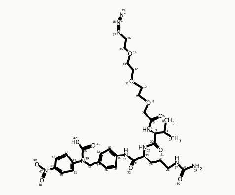 CC(C)[C@H](NC(=O)COCCOCCOCCN=[N+]=[N-])C(=O)N[C@@H](CCCNC(N)=O)C(=O)Nc1ccc(CN(C(=O)O)c2ccc([N+](=O)[O-])cc2)cc1